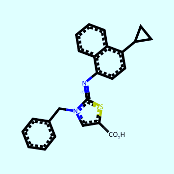 O=C(O)c1cn(Cc2ccccc2)/c(=N/c2ccc(C3CC3)c3ccccc23)s1